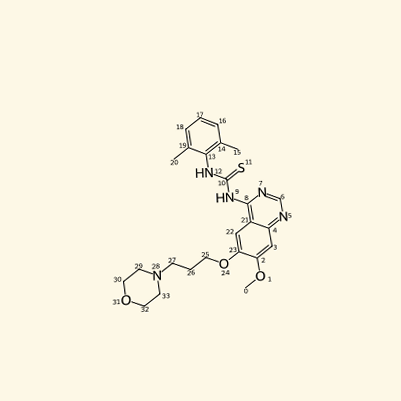 COc1cc2ncnc(NC(=S)Nc3c(C)cccc3C)c2cc1OCCCN1CCOCC1